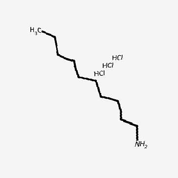 CCCCCCCCCCN.Cl.Cl.Cl